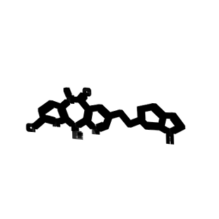 CCN1c2ncc(CCc3ccc4cc[nH]c4c3)cc2C(=O)N(C)c2ccc(Cl)nc21